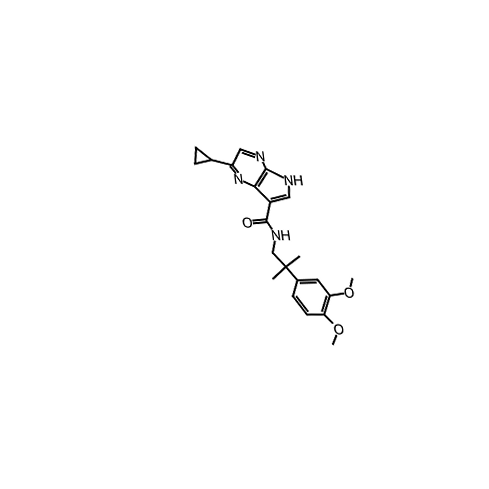 COc1ccc(C(C)(C)CNC(=O)c2c[nH]c3ncc(C4CC4)nc23)cc1OC